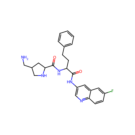 NCC1CNC(C(=O)NC(CCc2ccccc2)C(=O)Nc2cnc3ccc(F)cc3c2)C1